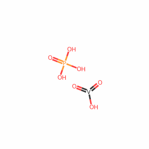 O=P(O)(O)O.[O]=[V](=[O])[OH]